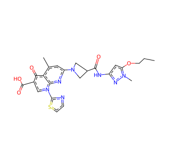 CCCOc1cc(NC(=O)C2CN(c3cc(C)c4c(=O)c(C(=O)O)cn(-c5nccs5)c4n3)C2)nn1C